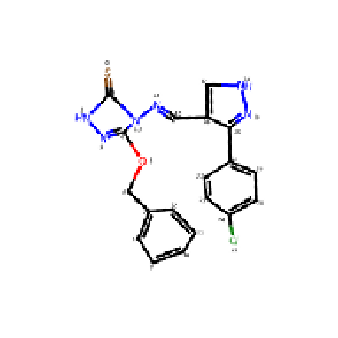 S=c1[nH]nc(OCc2ccccc2)n1N=Cc1c[nH]nc1-c1ccc(Cl)cc1